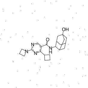 O=C(NC1C2CC3CC1CC(O)(C3)C2)c1cnc(N2CCC2)nc1C1CCC1